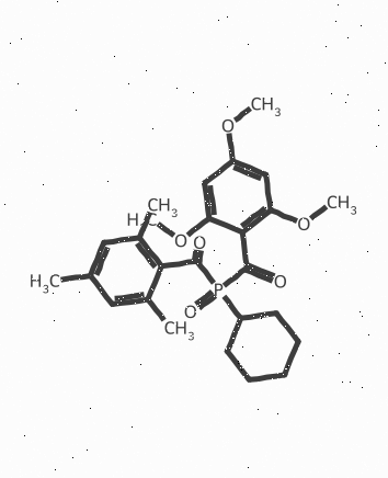 COc1cc(OC)c(C(=O)P(=O)(C(=O)c2c(C)cc(C)cc2C)C2CCCCC2)c(OC)c1